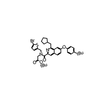 CC(C)(C)OC(=O)CN(Cc1ccc(Br)s1)C(=O)c1cc2ccc(Oc3ccc(C(C)(C)C)cc3)cc2c(CC2CCCC2)n1